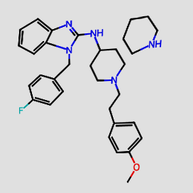 C1CCNCC1.COc1ccc(CCN2CCC(Nc3nc4ccccc4n3Cc3ccc(F)cc3)CC2)cc1